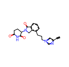 C#Cc1cn(CCCc2cccc3c2CN(C2CCC(=O)NC2=O)C3=O)cn1